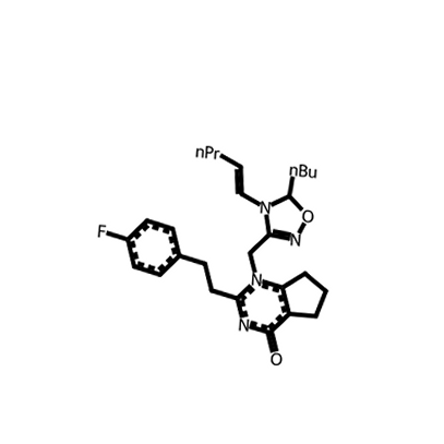 CCC/C=C/N1C(Cn2c(CCc3ccc(F)cc3)nc(=O)c3c2CCC3)=NOC1CCCC